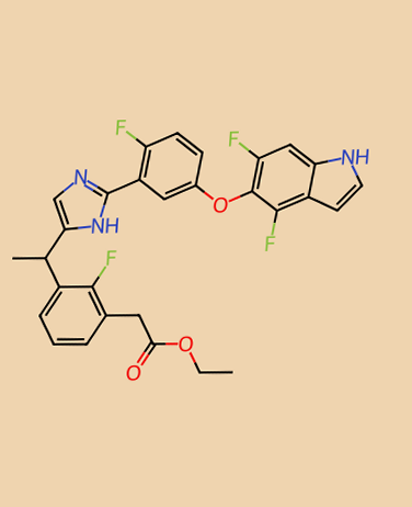 CCOC(=O)Cc1cccc(C(C)c2cnc(-c3cc(Oc4c(F)cc5[nH]ccc5c4F)ccc3F)[nH]2)c1F